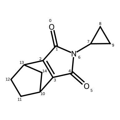 O=C1C2=C(C(=O)N1C1CC1)C1CCC2C1